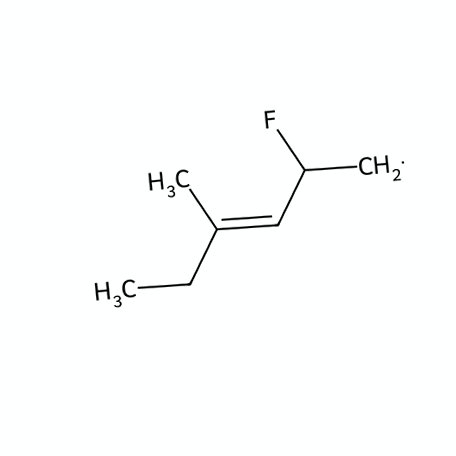 [CH2]C(F)/C=C(\C)CC